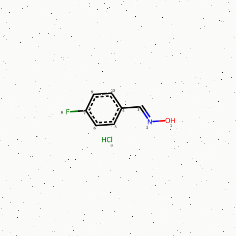 Cl.ON=Cc1ccc(F)cc1